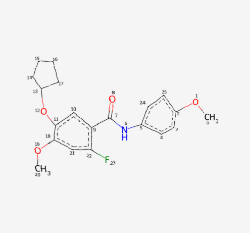 COc1ccc(NC(=O)c2cc(OC3CCCC3)c(OC)cc2F)cc1